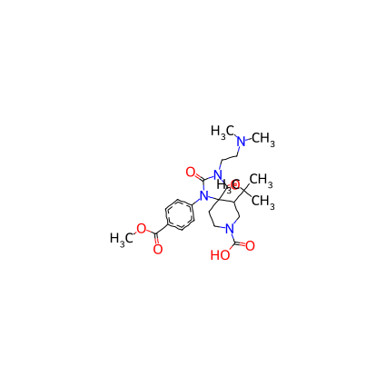 COC(=O)c1ccc(N2C(=O)N(CCN(C)C)C(=O)C23CCN(C(=O)O)CC3C(C)(C)C)cc1